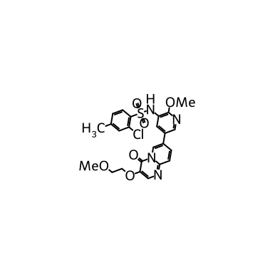 COCCOc1cnc2ccc(-c3cnc(OC)c(NS(=O)(=O)c4ccc(C)cc4Cl)c3)cn2c1=O